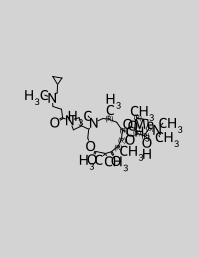 CO[C@]1(C)C[C@@H](C)CN(C)C(C2CN(C(=O)CCN(C)CC3CC3)C2)COC(=O)C(C)(C)C(=O)[C@H](C)[C@H]1O[C@@H]1O[C@H](C)C[C@H](N(C)C)[C@H]1O